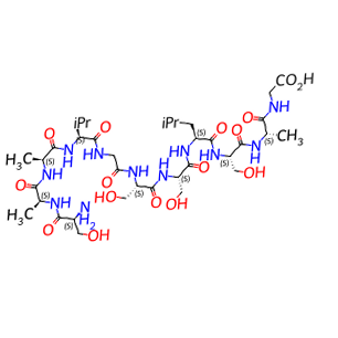 CC(C)C[C@H](NC(=O)[C@H](CO)NC(=O)[C@H](CO)NC(=O)CNC(=O)[C@@H](NC(=O)[C@H](C)NC(=O)[C@H](C)NC(=O)[C@@H](N)CO)C(C)C)C(=O)N[C@@H](CO)C(=O)N[C@@H](C)C(=O)NCC(=O)O